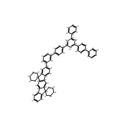 c1ccc(-c2ccc(-c3nc(-c4ccccc4)nc(-c4ccc(-c5cccc(-c6ccc7c(c6)C6(CCCCC6)c6cc8c(cc6-7)C6(CCCCC6)c6ccccc6-8)c5)cc4)n3)cc2)cc1